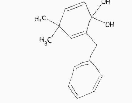 CC1(C)C=CC(O)(O)C(Cc2ccccc2)=C1